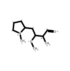 COC(CC1CCCN1C)C(C)C=O